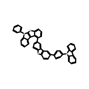 c1ccc(-n2c3ccccc3c3c4c(-c5ccc6oc7ccc(-c8ccc(-n9c%10ccccc%10c%10ccccc%109)cc8)cc7c6c5)cccc4oc32)cc1